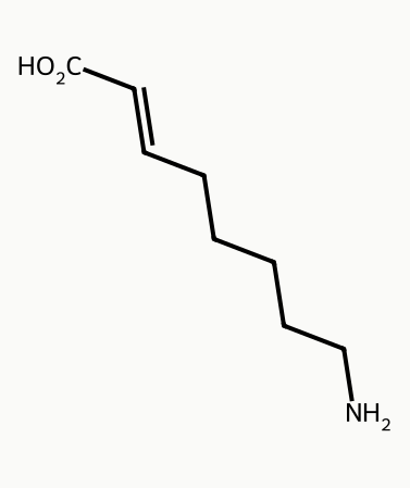 NCCCCCC=CC(=O)O